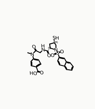 CN(C(=O)CNC(=O)[C@@H]1C[C@@H](S)CN1S(=O)(=O)c1ccc2ccccc2c1)c1ccc(C(=O)O)cc1